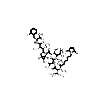 CC[C@H](C)C([C@@H](CC(=O)N1[C@H]2C[C@H]2C[C@H]1[C@H](OC)[C@@H](C)C(=O)N[C@@H](Cc1ccccc1F)C(=O)O)OC)N(C)C(=O)[C@@H](NC(=O)[C@H](C(C)C)N(C)C(=O)CCCCCN1C(=O)C=CC1=O)C(C)C